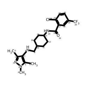 Cc1nn(C)c(C)c1NCC1CCC(NC(=O)c2cc(C(F)(F)F)ccc2Cl)CC1